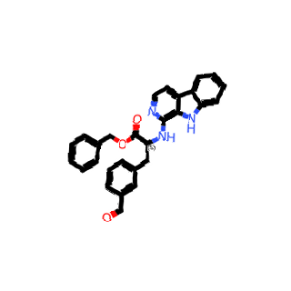 O=Cc1cccc(C[C@H](Nc2nccc3c2[nH]c2ccccc23)C(=O)OCc2ccccc2)c1